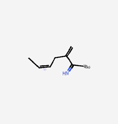 C=C(C/C=C\C)C(=N)C(C)CC